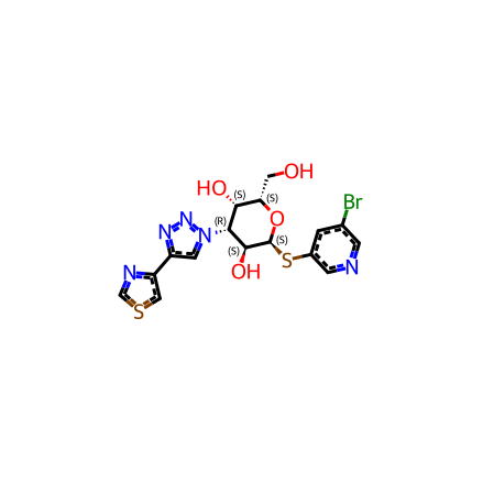 OC[C@@H]1O[C@@H](Sc2cncc(Br)c2)[C@@H](O)[C@H](n2cc(-c3cscn3)nn2)[C@@H]1O